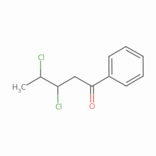 CC(Cl)C(Cl)CC(=O)c1ccccc1